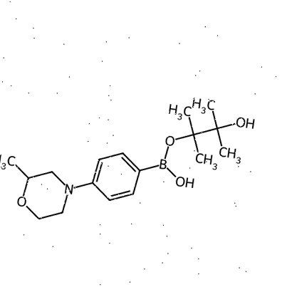 CC1CN(c2ccc(B(O)OC(C)(C)C(C)(C)O)cc2)CCO1